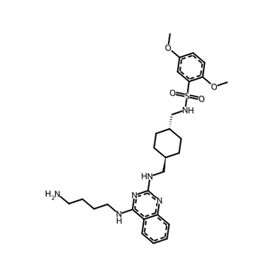 COc1ccc(OC)c(S(=O)(=O)NC[C@H]2CC[C@H](CNc3nc(NCCCCN)c4ccccc4n3)CC2)c1